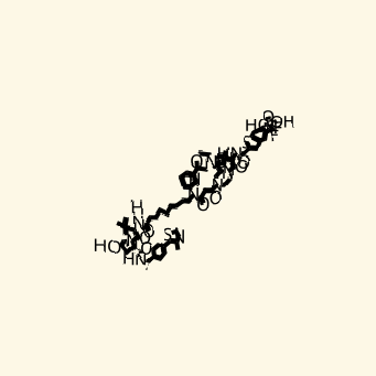 Cc1ncsc1-c1ccc([C@H](C)NC(=O)[C@@H]2C[C@@H](O)CN2C(=O)C(NC(=O)CCCCCCCCNC(=O)CC(=O)N2CCN(C(=O)C(NC(=O)c3cc4cc(C(F)(F)P(=O)(O)O)ccc4s3)C(C)(C)C)C(C(=O)N3CCOC(c4ccccc4)C3)C2)C(C)(C)C)cc1